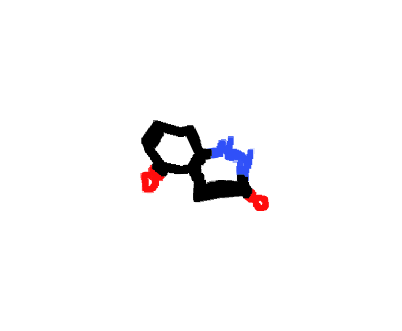 O=C1C=CCc2nnc(=O)ccc21